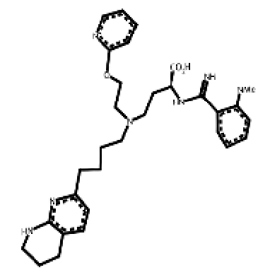 CNc1ccccc1C(=N)N[C@@H](CCN(CCCCc1ccc2c(n1)NCCC2)CCOc1ccccn1)C(=O)O